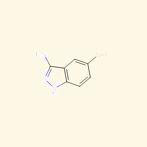 CC(=O)Nc1ccc2[nH]nc(N)c2c1